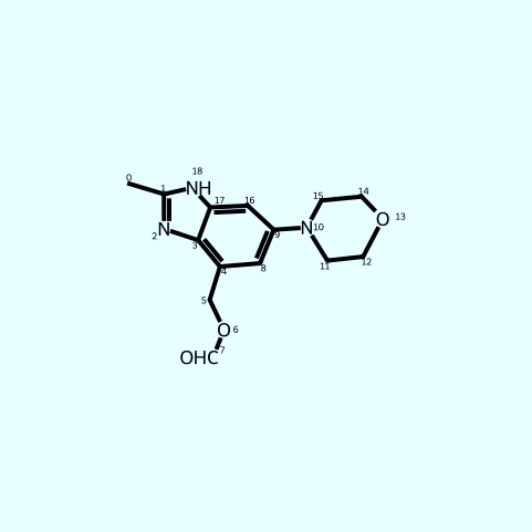 Cc1nc2c(COC=O)cc(N3CCOCC3)cc2[nH]1